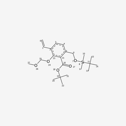 C=Cc1ccc(CO[Si](C)(C)C(C)(C)C)c(C(=O)OC(C)(C)C)c1OCOC